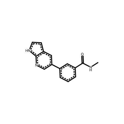 CNC(=O)c1cccc(-c2cnc3[nH]ccc3c2)c1